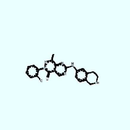 Cc1nn(-c2ccccc2Cl)c(=O)c2cnc(Nc3ccc4c(c3)CCNC4)nc12